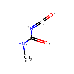 CNC(=O)N=C=O